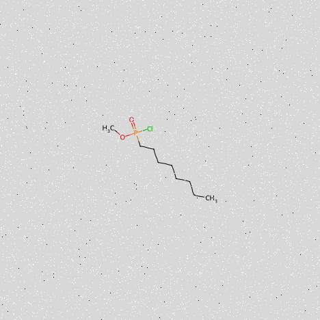 CCCCCCCCP(=O)(Cl)OC